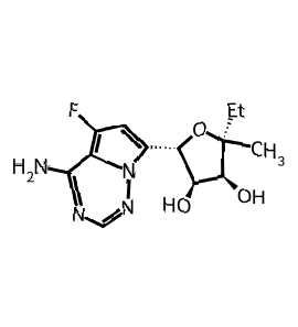 CC[C@@]1(C)O[C@@H](c2cc(F)c3c(N)ncnn23)[C@H](O)[C@@H]1O